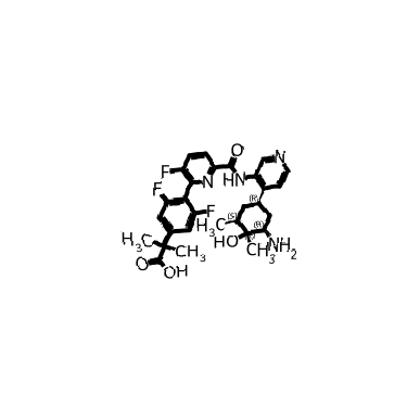 C[C@H]1C[C@@H](c2ccncc2NC(=O)c2ccc(F)c(-c3c(F)cc(C(C)(C)C(=O)O)cc3F)n2)C[C@@H](N)[C@]1(C)O